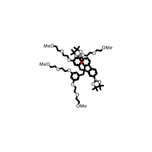 COCCOCCOc1cc(CC2(Cc3cc(OCCOCCOC)cc(OCCOCCOC)c3)c3cc(B4OC(C)(C)C(C)(C)O4)ccc3-c3ccc(B4OC(C)(C)C(C)(C)O4)cc32)cc(OCCOCCOC)c1